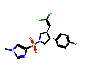 Cn1cnc(S(=O)(=O)N2C[C@@H](C=C(Br)Br)[C@H](c3ccc(F)cc3)C2)c1